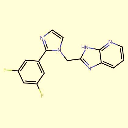 Fc1cc(F)cc(-c2nccn2Cc2nc3cccnc3[nH]2)c1